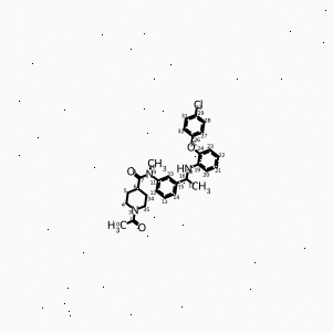 CC(=O)N1CCC(C(=O)N(C)c2cccc(C(C)Nc3ccccc3Oc3ccc(Cl)cc3)c2)CC1